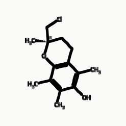 Cc1c(C)c2c(c(C)c1O)CC[C@](C)(CCl)O2